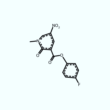 Cn1cc([N+](=O)[O-])cc(C(=O)Oc2ccc(F)cc2)c1=O